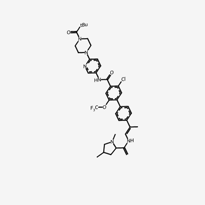 C=C(N/C=C(\C)c1ccc(-c2cc(Cl)c(C(=O)Nc3ccc(N4CCN(C(=O)C(C)(C)C)CC4)nc3)cc2OC(F)(F)F)cc1)C1CC(C)CN1C